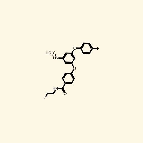 O=C(O)Nc1cc(Oc2ccc(F)cc2)cc(Oc2ccc(C(=O)NCCF)cc2)c1